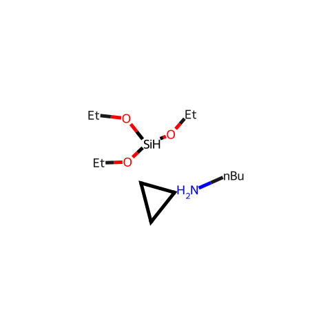 C1CC1.CCCCN.CCO[SiH](OCC)OCC